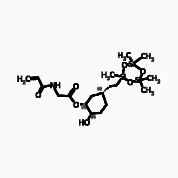 C=CC(=O)NCC(=O)O[C@@H]1C[C@H](CC[Si]2(C)O[Si](C)(C)O[Si](C)(C)O2)CC[C@H]1O